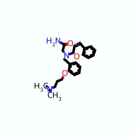 CN(C)CCCOc1ccccc1CN(CC(N)=O)C(=O)/C=C\c1ccccc1